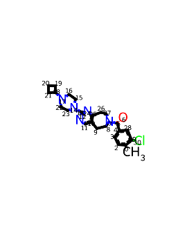 Cc1ccc(C(=O)N2CCc3cnc(N4CCN(C5CCC5)CC4)nc3CC2)cc1Cl